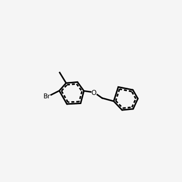 Cc1cc(OCc2ccccc2)ccc1Br